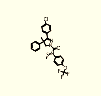 CSN(C(=O)N1CC(C)(c2ccccc2)C(c2ccc(Cl)cc2)=N1)c1ccc(OC(F)(F)F)cc1